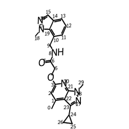 Cc1cc(OCC(=O)NCc2cccc3cnn(C)c23)nc2c1c(C1CC1)nn2C